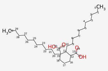 CCCCCCCCCCCC1C(C(=O)O)CCCC1(CCCCCCCCCCC)C(=O)O